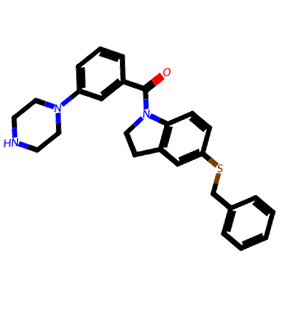 O=C(c1cccc(N2CCNCC2)c1)N1CCc2cc(SCc3ccccc3)ccc21